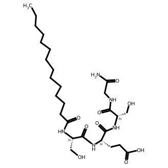 CCCCCCCCCCCCCC(=O)N[C@@H](CO)C(=O)N[C@@H](CCC(=O)O)C(=O)N[C@@H](CO)C(=O)NCC(N)=O